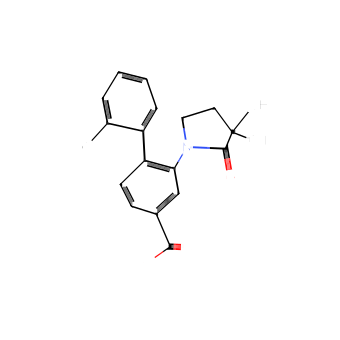 Cc1ccccc1-c1ccc(C(=O)O)cc1N1CCC(C)(C)C1=O